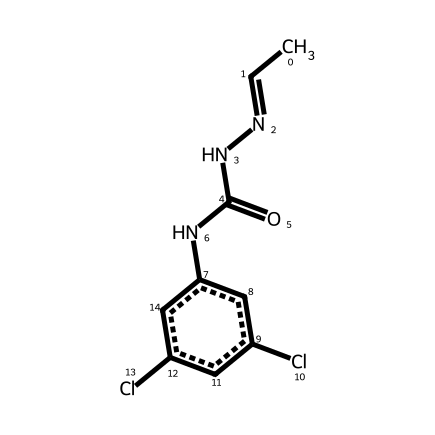 C/C=N/NC(=O)Nc1cc(Cl)cc(Cl)c1